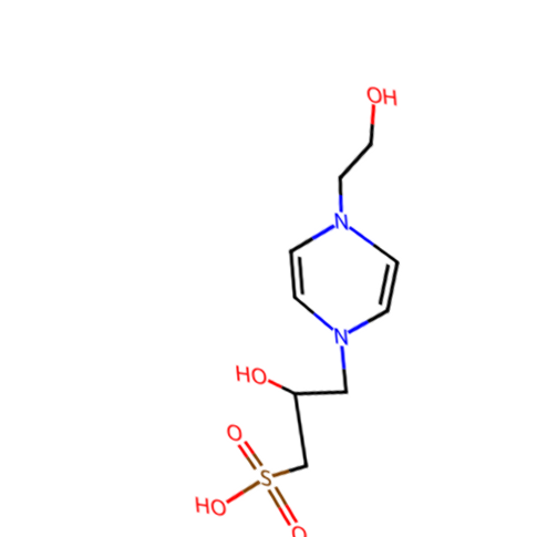 O=S(=O)(O)CC(O)CN1C=CN(CCO)C=C1